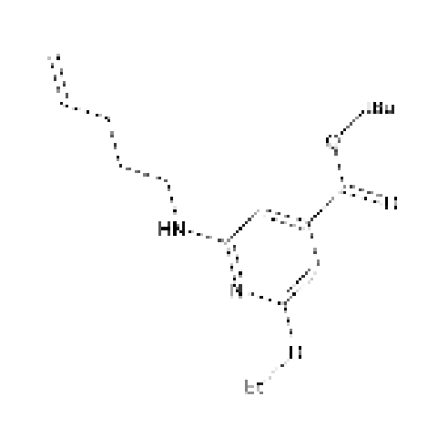 C=CCCCNc1cc(C(=O)OC(C)(C)C)cc(OCC)n1